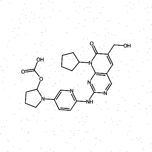 O=C(O)OC1CCCN1c1ccc(Nc2ncc3cc(CO)c(=O)n(C4CCCC4)c3n2)nc1